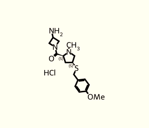 COc1ccc(CS[C@H]2C[C@@H](C(=O)N3CC(N)C3)N(C)C2)cc1.Cl